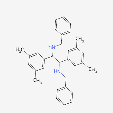 Cc1cc(C)cc(C(NCc2ccccc2)[C@@H](NCc2ccccc2)c2cc(C)cc(C)c2)c1